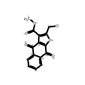 COC(=O)c1c(CCl)oc2c1C(=O)c1ccccc1C2=O